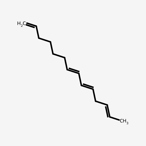 C=CCCCCC=CC=CCC=CC